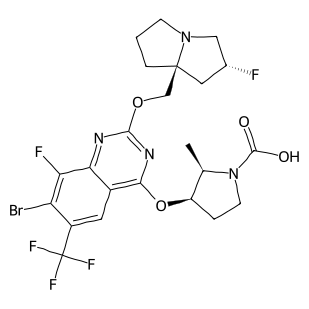 C[C@@H]1[C@H](Oc2nc(OC[C@@]34CCCN3C[C@H](F)C4)nc3c(F)c(Br)c(C(F)(F)F)cc23)CCN1C(=O)O